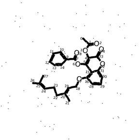 CC(=O)Oc1c(OC(=O)c2ccccc2)c2c(OC/C=C(\C)CCC=C(C)C)cccc2oc1=O